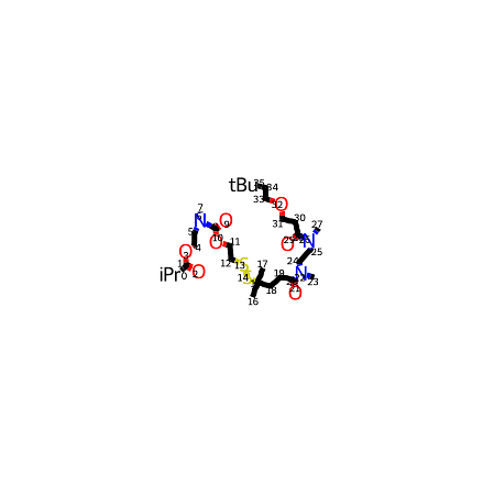 CC(C)C(=O)OCCN(C)C(=O)OCCSSC(C)(C)CCC(=O)N(C)CCN(C)C(=O)CCOCCC(C)(C)C